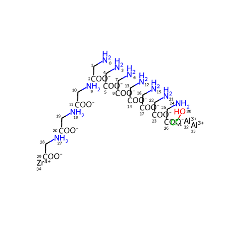 NCC(=O)[O-].NCC(=O)[O-].NCC(=O)[O-].NCC(=O)[O-].NCC(=O)[O-].NCC(=O)[O-].NCC(=O)[O-].NCC(=O)[O-].NCC(=O)[O-].NCC(=O)[O-].OCl.[Al+3].[Al+3].[Zr+4]